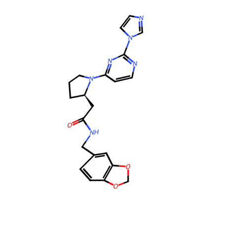 O=C(C[C@H]1CCCN1c1ccnc(-n2ccnc2)n1)NCc1ccc2c(c1)OCO2